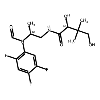 C[C@@H](CNC(=O)[C@@H](O)C(C)(C)CO)N(C=O)c1cc(F)c(F)cc1F